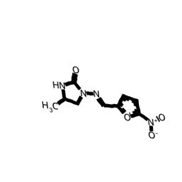 CC1CN(/N=C/c2ccc([N+](=O)[O-])o2)C(=O)N1